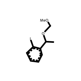 COCOC(C)c1ccccc1I